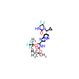 CC(C)(C)OC(=O)N[C@@H](COC(C)(C)C(F)(F)F)c1cn2ncc([C@@H](C3CC3)N3CC(F)(F)CNC3=O)cc2n1